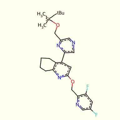 CC(C)(C)[Si](C)(C)OCc1cncc(-c2cc(OCc3ncc(F)cc3F)nc3c2CCCC3)n1